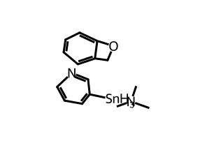 CN(C)C.[SnH3][c]1cccnc1.c1ccc2c(c1)CO2